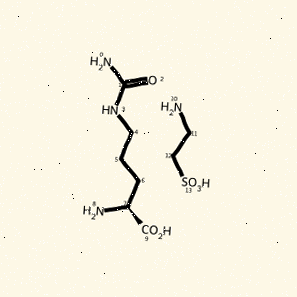 NC(=O)NCCC[C@H](N)C(=O)O.NCCS(=O)(=O)O